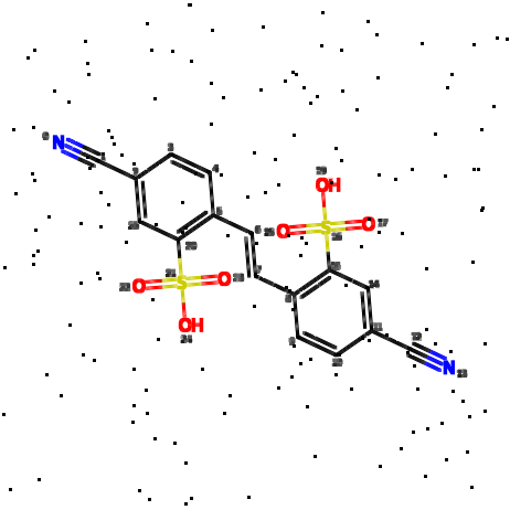 N#Cc1ccc(C=Cc2ccc(C#N)cc2S(=O)(=O)O)c(S(=O)(=O)O)c1